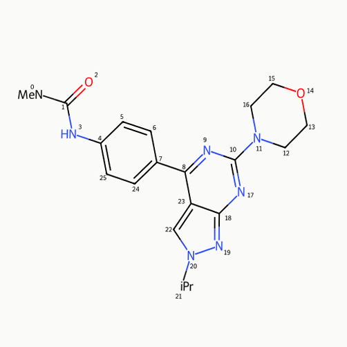 CNC(=O)Nc1ccc(-c2nc(N3CCOCC3)nc3nn(C(C)C)cc23)cc1